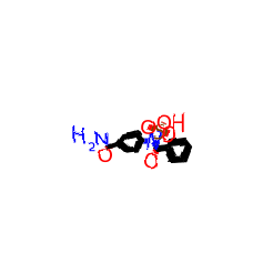 NC(=O)c1ccc(N(C(=O)c2ccccc2)S(=O)(=O)O)cc1